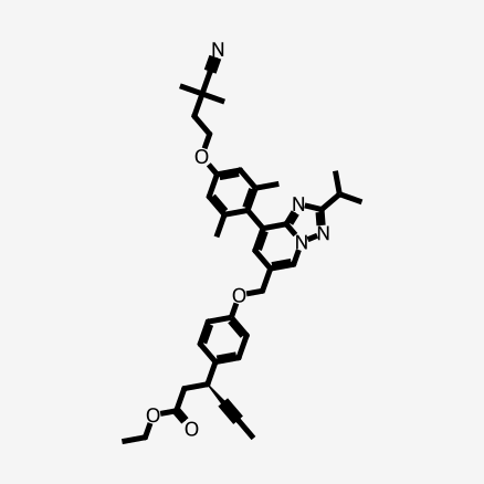 CC#C[C@@H](CC(=O)OCC)c1ccc(OCc2cc(-c3c(C)cc(OCCC(C)(C)C#N)cc3C)c3nc(C(C)C)nn3c2)cc1